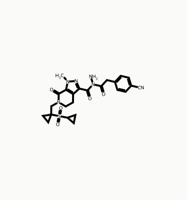 Cn1nc(C(=O)N(N)C(=O)Cc2ccc(C#N)cc2)c2c1C(=O)N(CC1(S(=O)(=O)C3CC3)CC1)CC2